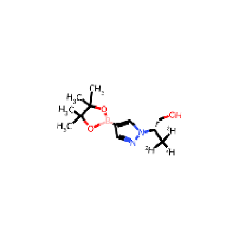 [2H]C([2H])([2H])[C@@H](CO)n1cc(B2OC(C)(C)C(C)(C)O2)cn1